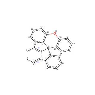 C/C=C\C(=C/C)C1(c2ccccc2)c2ccccc2Oc2ccccc21